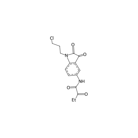 CCC(=O)C(=O)Nc1ccc2c(c1)C(=O)C(=O)N2CCCCl